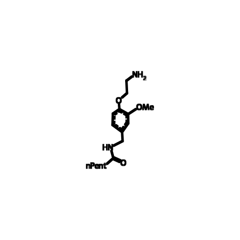 CCCCCC(=O)NCc1ccc(OCCN)c(OC)c1